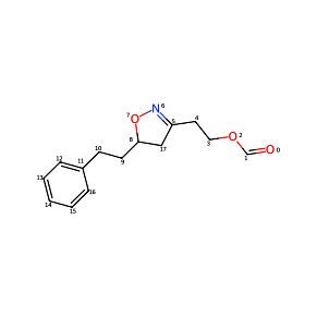 O=COCCC1=NOC(CCc2ccccc2)C1